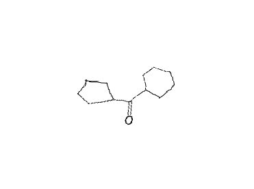 O=C(C1CCCCC1)C1CCCC1